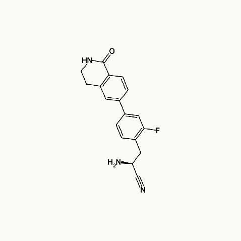 N#C[C@@H](N)Cc1ccc(-c2ccc3c(c2)CCNC3=O)cc1F